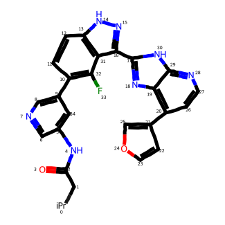 CC(C)CC(=O)Nc1cncc(-c2ccc3[nH]nc(-c4nc5c(-c6ccoc6)ccnc5[nH]4)c3c2F)c1